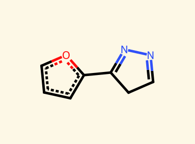 C1=NN=C(c2ccco2)C1